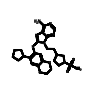 Nc1ncnc2c1nc(Sc1cc3c(cc1C1CCCC1)OCCO3)n2CCC1CCN(S(N)(=O)=O)C1